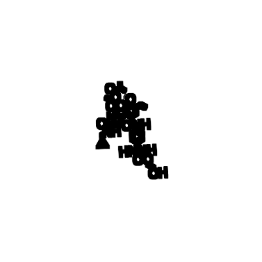 C=Cc1cc(C(=O)Nc2ccc(C(=N)NC(=O)OCCO)cc2)c(-c2ccc(C(=O)NCC3CC3)nc2C(=O)OC(C)OC(=O)C(C)C)cc1OC